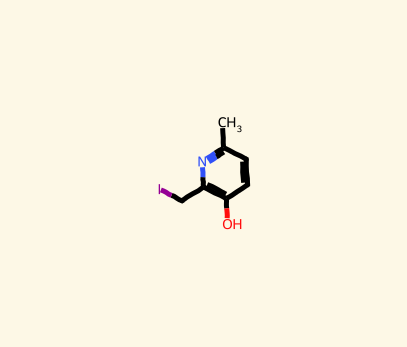 Cc1ccc(O)c(CI)n1